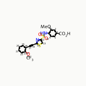 COc1cc(C(=O)O)ccc1NS(=O)(=O)c1csc(C#Cc2ccccc2OC(F)(F)F)n1